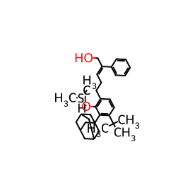 C[SiH](C)Oc1c(CC/C=C(/CO)c2ccccc2)ccc(C(C)(C)C)c1C12CC3CC(CC(C3)C1)C2